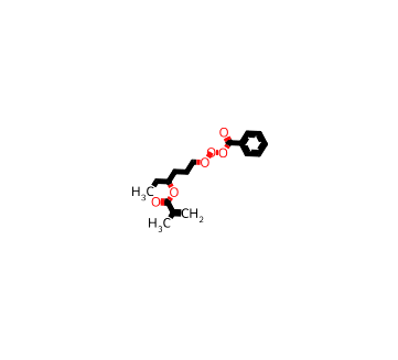 C=C(C)C(=O)OC(CC)CCCOOOC(=O)c1ccccc1